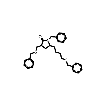 O=C1C(CSCc2ccccc2)CC(CCCCSCc2ccccc2)N1Cc1ccccc1